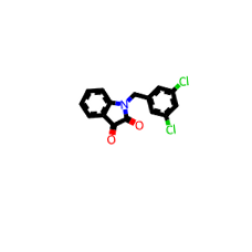 O=C1C(=O)N(Cc2cc(Cl)cc(Cl)c2)c2ccccc21